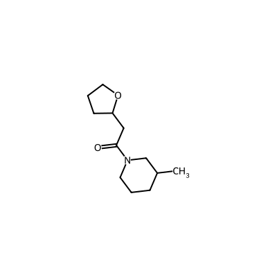 CC1CCCN(C(=O)CC2CCCO2)C1